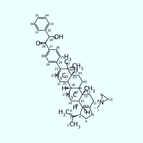 C=C(C)[C@@H]1CC[C@]2(CN3CC3)CC[C@]3(C)[C@H](CC[C@@H]4[C@@]5(C)CC=C(c6ccc(C(=O)C(O)c7ccccc7)cc6)C(C)(C)[C@@H]5CC[C@]43C)[C@@H]12